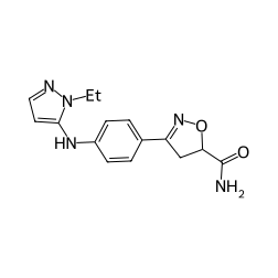 CCn1nccc1Nc1ccc(C2=NOC(C(N)=O)C2)cc1